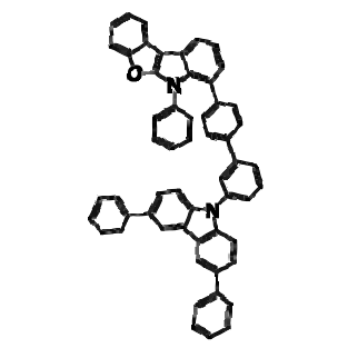 c1ccc(-c2ccc3c(c2)c2cc(-c4ccccc4)ccc2n3-c2cccc(-c3ccc(-c4cccc5c6c7ccccc7oc6n(-c6ccccc6)c45)cc3)c2)cc1